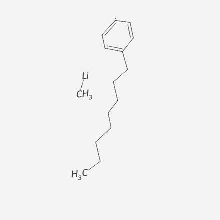 CCCCCCCCc1cc[c]cc1.[Li][CH3]